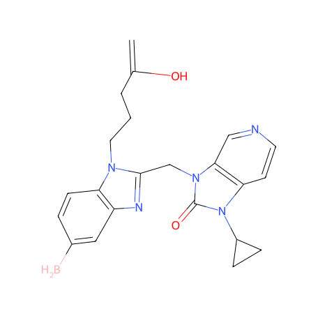 Bc1ccc2c(c1)nc(Cn1c(=O)n(C3CC3)c3ccncc31)n2CCCC(=C)O